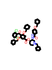 O=C(N[C@H]1CN(Cc2ccccc2)CCC[C@@H]1OC(=O)c1cc(OCc2ccccc2)c(C(=O)c2c(Cl)cccc2Cl)c(OCc2ccccc2)c1)c1ccc(OCc2ccccc2)cc1